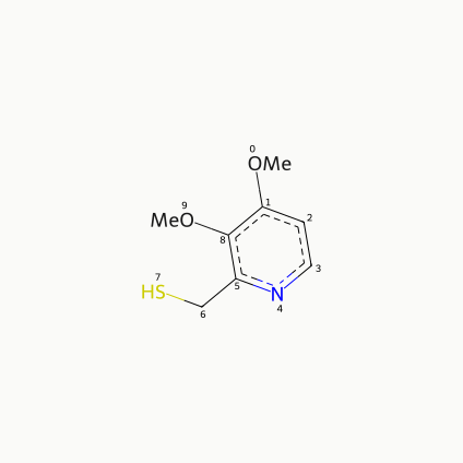 COc1ccnc(CS)c1OC